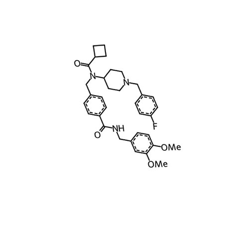 COc1ccc(CNC(=O)c2ccc(CN(C(=O)C3CCC3)C3CCN(Cc4ccc(F)cc4)CC3)cc2)cc1OC